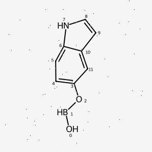 OBOc1ccc2[nH]ccc2c1